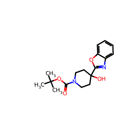 CC(C)(C)OC(=O)N1CCC(O)(c2nc3ccccc3o2)CC1